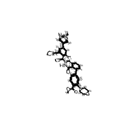 COC(=O)c1ccc(-c2cccc3c2C(=O)NN(C(=O)c2c(Cl)cc(-c4cnn(C)c4)cc2Cl)C3)cc1N1CCOCC1